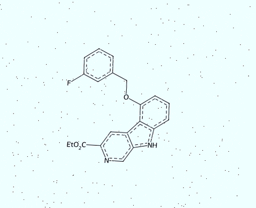 CCOC(=O)c1cc2c(cn1)[nH]c1cccc(OCc3cccc(F)c3)c12